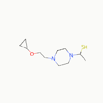 CC(S)N1CCN(CCOC2CC2)CC1